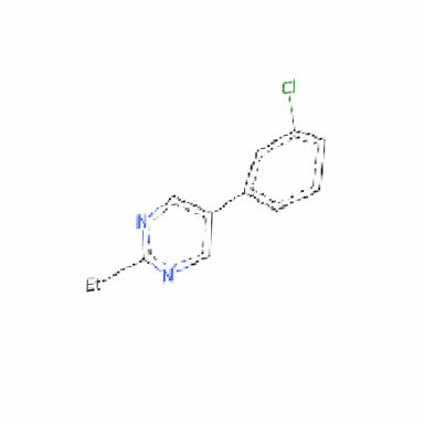 CCc1ncc(-c2cccc(Cl)c2)cn1